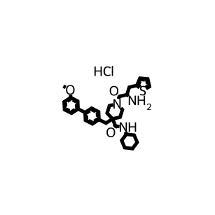 COc1cccc(-c2ccc(CC3(C(=O)NC4CCCCC4)CCN(C(=O)C(N)Cc4cccs4)CC3)cc2)c1.Cl